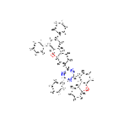 c1ccc(-c2cc(-c3ccccc3)c3oc4cc(-c5nc(-c6ccccc6)nc(-c6cccc7oc8ccccc8c67)n5)ccc4c3c2)cc1